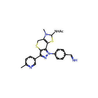 CC(=O)NC1SC2=C(CSc3c(-c4ccc(C)nc4)nn(-c4ccc(C=N)cc4)c32)N1C